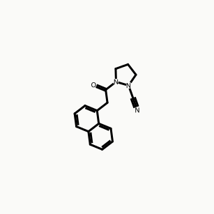 N#CN1CCCN1C(=O)Cc1cccc2ccccc12